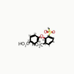 CS(=O)(=O)c1cccc(C(=O)O)c1Oc1ccc(C(=O)O)cc1